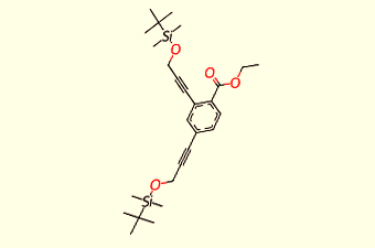 CCOC(=O)c1ccc(C#CCO[Si](C)(C)C(C)(C)C)cc1C#CCO[Si](C)(C)C(C)(C)C